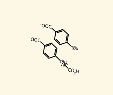 CC(C)(C)c1ccc(C(=O)[O-])cc1.CC(C)(C)c1ccc(C(=O)[O-])cc1.O=[C](O)[Al+2]